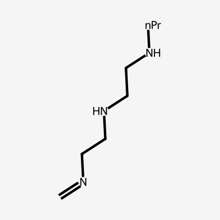 C=NCCNCCNCCC